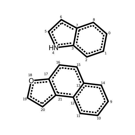 c1ccc2[nH]ccc2c1.c1ccc2c(c1)ccc1occc12